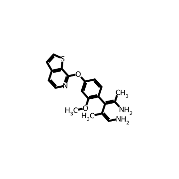 COc1cc(Oc2nccc3ccsc23)ccc1C(/C(C)=C\N)=C(\C)N